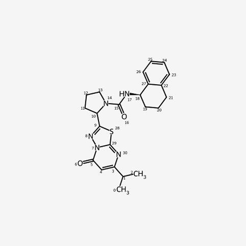 CC(C)c1cc(=O)n2nc(C3CCCN3C(=O)N[C@@H]3CCCc4ccccc43)sc2n1